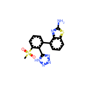 CS(=O)(=O)c1cccc(-c2cccc3sc(N)nc23)c1-c1nnn[nH]1